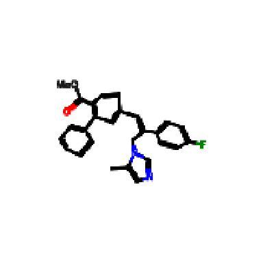 COC(=O)c1ccc(/C=C(\Cn2cncc2C)c2ccc(F)cc2)cc1-c1ccccc1